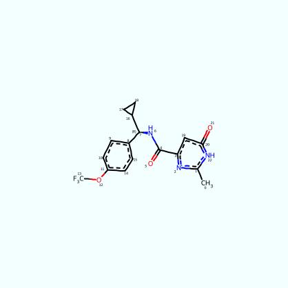 Cc1nc(C(=O)N[C@@H](c2ccc(OC(F)(F)F)cc2)C2CC2)cc(=O)[nH]1